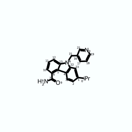 CC(C)c1c[c]c2c3c(C(N)=O)cccc3n(Cc3cccnc3)c2c1